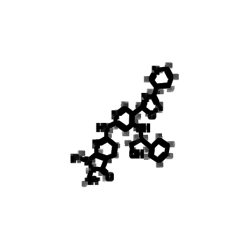 CCCn1c(=O)c2ccc(Nc3cc(N[C@H](CO)c4ccccc4)c(-c4nc(-c5cccnc5)no4)cn3)nc2n1C(C)C